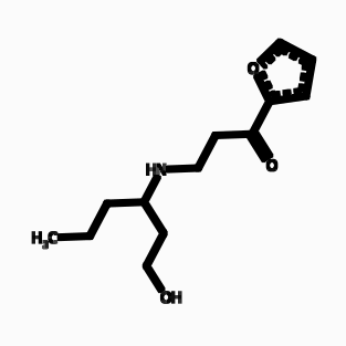 CCCC(CCO)NCCC(=O)c1ccco1